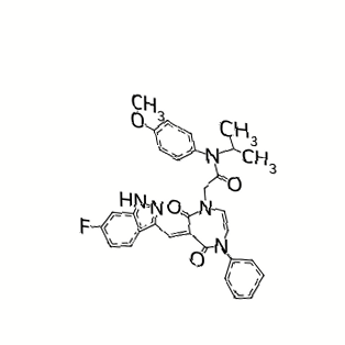 COc1ccc(N(C(=O)CN2C=CN(c3ccccc3)C(=O)/C(=C/c3n[nH]c4cc(F)ccc34)C2=O)C(C)C)cc1